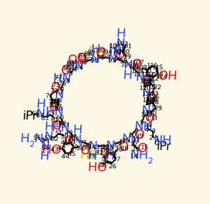 CC(C)NCCCC[C@@H]1NC(=O)[C@H](CCC(N)=O)NC(=O)[C@H](Cc2ccc(O)cc2)NC(=O)[C@H](CS)NC(=O)[C@H](Cc2ccc(O)cc2)NC(=O)[C@H](CCCNC(=N)N)NC(=O)[C@H](CCCNC(C)C)NC(=O)[C@H]2CCCN2C(=O)[C@H](C)NC(=O)[C@H](CO)NC(=O)[C@H](CS)NC(=O)[C@H](C)NC(=O)[C@H](Cc2c[nH]cn2)NC(=O)[C@H](Cc2ccc(O)cc2)NC(=O)[C@@H]2CCCN2C(=O)[C@H]2CCCN2C1=O